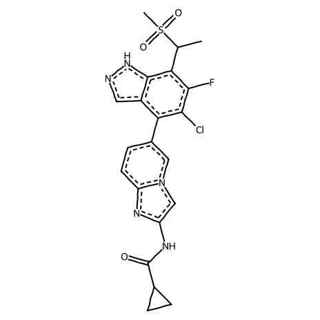 CC(c1c(F)c(Cl)c(-c2ccc3nc(NC(=O)C4CC4)cn3c2)c2cn[nH]c12)S(C)(=O)=O